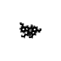 CCC[SiH]=[Hf]([CH]1C(CC)=Cc2c(CC)cccc21)[CH]1C(CC)=Cc2c(CC)cccc21